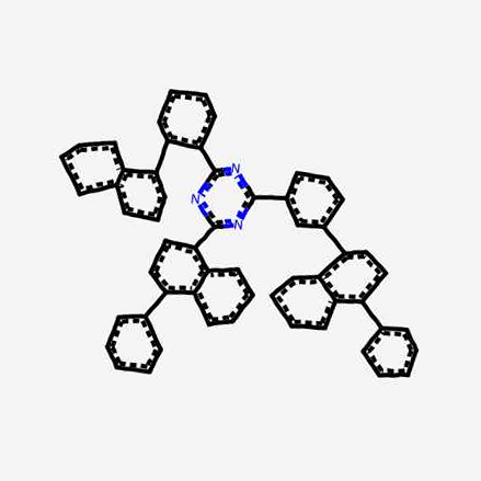 c1ccc(-c2ccc(-c3cccc(-c4nc(-c5ccccc5-c5cccc6ccccc56)nc(-c5ccc(-c6ccccc6)c6ccccc56)n4)c3)c3ccccc23)cc1